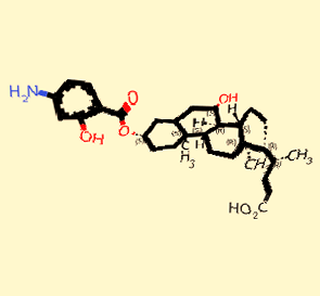 C[C@H](CCC(=O)O)[C@H]1CC[C@H]2[C@@H]3[C@@H](O)CC4C[C@@H](OC(=O)c5ccc(N)cc5O)CC[C@]4(C)[C@H]3CC[C@]12C